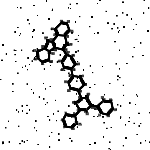 b1cc(-c2nc(-c3ccccn3)nc(-c3ccccn3)n2)ccc1-c1ccc(-c2nc3ccccc3c3nc4ccccn4c23)cc1